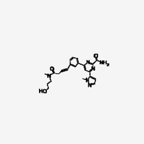 CN(CCCO)C(=O)CC#Cc1cccc(-c2cc(-c3ccnn3C)nc(C(N)=O)n2)c1